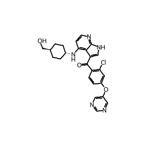 O=C(c1ccc(Oc2cncnc2)cc1Cl)c1c[nH]c2nccc(N[C@H]3CC[C@H](CO)CC3)c12